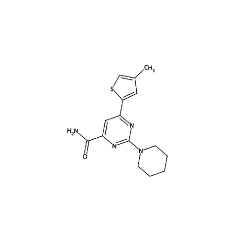 Cc1csc(-c2cc(C(N)=O)nc(N3CCCCC3)n2)c1